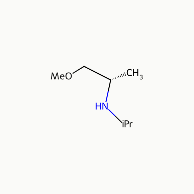 COC[C@H](C)NC(C)C